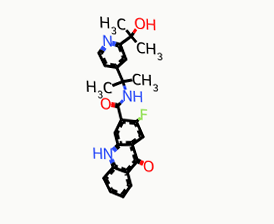 CC(C)(O)c1cc(C(C)(C)NC(=O)c2cc3[nH]c4ccccc4c(=O)c3cc2F)ccn1